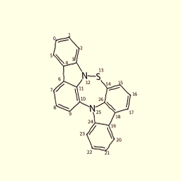 c1ccc2c(c1)c1cccc3c1n2sc1cccc2c4ccccc4n3c12